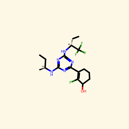 CC[C@H](C)Nc1nc(N[C@H](CC)C(F)(F)F)nc(C2=C(F)C(O)CCC2)n1